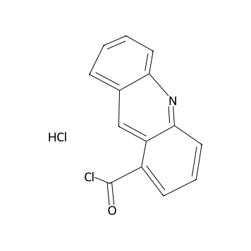 Cl.O=C(Cl)c1cccc2nc3ccccc3cc12